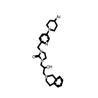 CC(=O)C1CCN(c2ccc(CN3CCN(CC(O)CN4CCc5ccccc5C4)C3=O)nc2)CC1